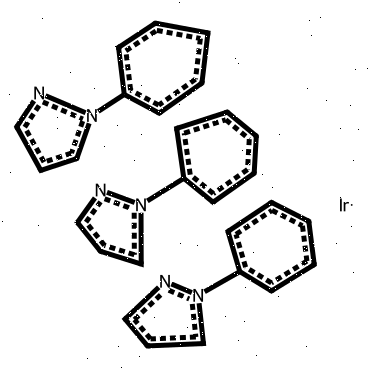 [Ir].c1ccc(-n2cccn2)cc1.c1ccc(-n2cccn2)cc1.c1ccc(-n2cccn2)cc1